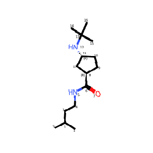 CC(C)CCNC(=O)[C@@H]1CC[C@@H](NC(C)(C)C)C1